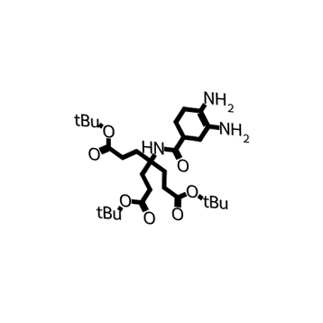 CC(C)(C)OC(=O)CCC(CCC(=O)OC(C)(C)C)(CCC(=O)OC(C)(C)C)NC(=O)C1CCC(N)=C(N)C1